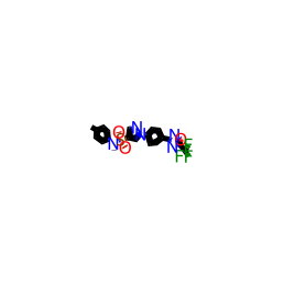 Cc1ccc(N(C)S(=O)(=O)c2cnn(-c3ccc(-c4noc(C(F)(F)F)n4)cc3)c2)cc1